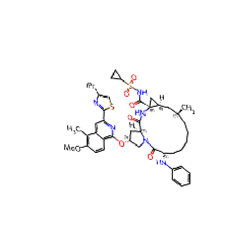 COc1ccc2c(O[C@@H]3C[C@H]4C(=O)N[C@]5(C(=O)NS(=O)(=O)C6CC6)C[C@H]5C[C@@H](C)CCCCC[C@H](Nc5ccccc5)C(=O)N4C3)nc(-c3nc(C(C)C)cs3)cc2c1C